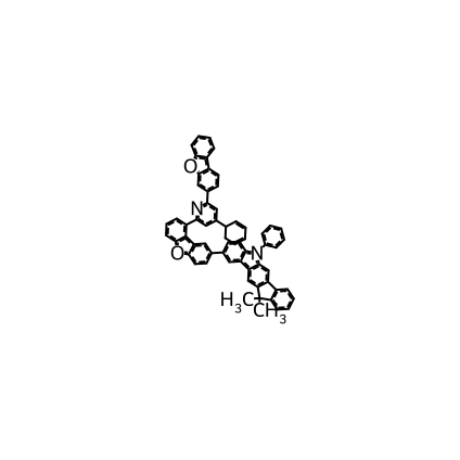 CC1(C)c2ccccc2-c2cc3c(cc21)c1cc(-c2ccc4oc5cccc(-c6cc(C7C=CC=CC7)cc(-c7ccc8c(c7)oc7ccccc78)n6)c5c4c2)ccc1n3-c1ccccc1